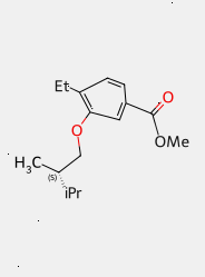 CCc1ccc(C(=O)OC)cc1OC[C@@H](C)C(C)C